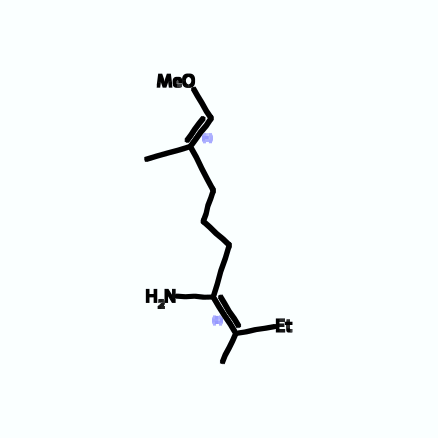 CC/C(C)=C(/N)CCC/C(C)=C/OC